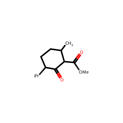 COC(=O)C1C(=O)C(C(C)C)CCC1C